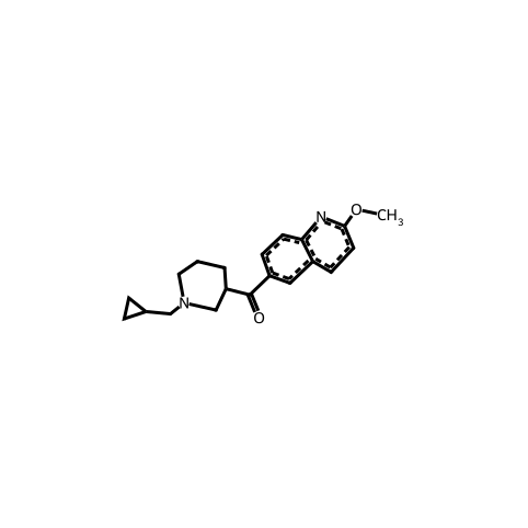 COc1ccc2cc(C(=O)C3CCCN(CC4CC4)C3)ccc2n1